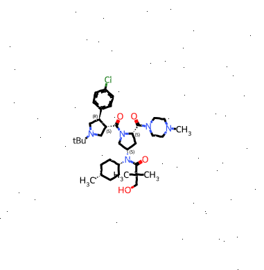 CN1CCN(C(=O)[C@@H]2C[C@H](N(C(=O)C(C)(C)CO)[C@H]3CC[C@@H](C)CC3)CN2C(=O)[C@@H]2CN(C(C)(C)C)C[C@H]2c2ccc(Cl)cc2)CC1